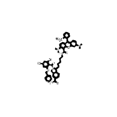 CN(C)c1ccc2c(c1C(=O)NCCCCCC1c3ccc(C(N)=O)cc3CN1C(=O)c1c(O)cc(O)cc1OCc1ccccc1)OC1=CC(N(C)C)C=CC1=C2c1ccccc1C(=O)O